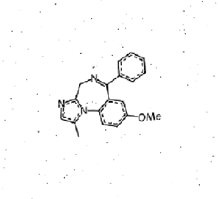 COc1ccc2c(c1)C(c1ccccc1)=NCc1ncc(C)n1-2